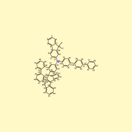 CC1(C)c2ccccc2-c2ccc(N(c3ccc(-c4ccc(-c5ccccc5)cc4)cc3)c3ccc4c(c3)-c3ccccc3-c3ccccc3C43c4ccccc4-c4c3ccc3ccccc43)cc21